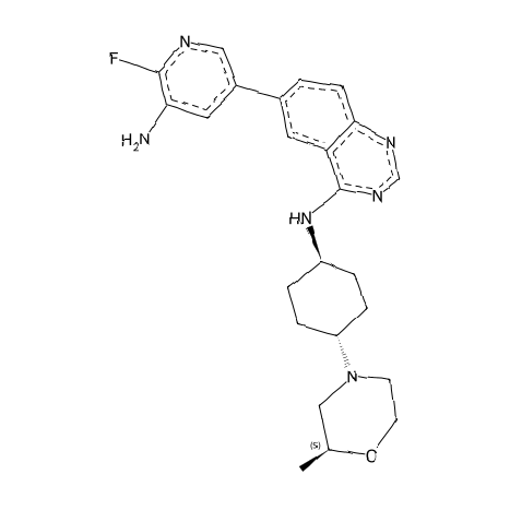 C[C@H]1CN([C@H]2CC[C@H](Nc3ncnc4ccc(-c5cnc(F)c(N)c5)cc34)CC2)CCO1